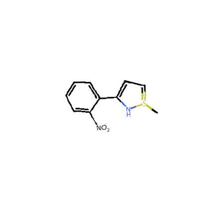 CS1=CC=C(c2ccccc2[N+](=O)[O-])N1